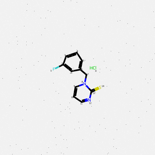 Cl.Fc1cccc(Cn2cccnc2=S)c1